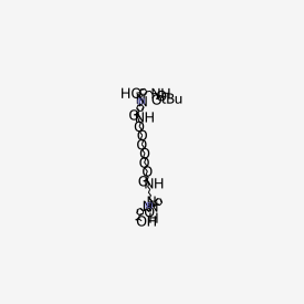 C=C(O)c1cccc(C(=O)/N=c2\[nH]c3ccccc3n2CCCCCNC(=O)CCOCCOCCOCCOCCOCCOCCNC(=O)c2ccc(/N=N/c3cc(CCNC(=O)OC(C)(C)C)ccc3O)cc2)c1